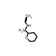 C=CB[SiH2]C1CCCCO1